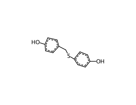 Oc1ccc(CSc2ccc(O)cc2)cc1